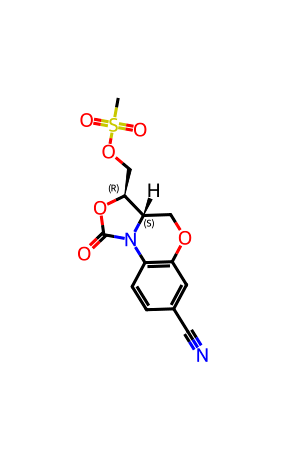 CS(=O)(=O)OC[C@@H]1OC(=O)N2c3ccc(C#N)cc3OC[C@@H]12